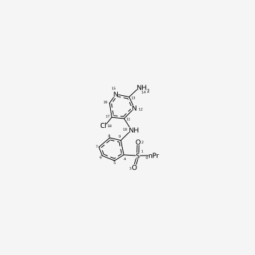 CCCS(=O)(=O)c1ccccc1Nc1nc(N)ncc1Cl